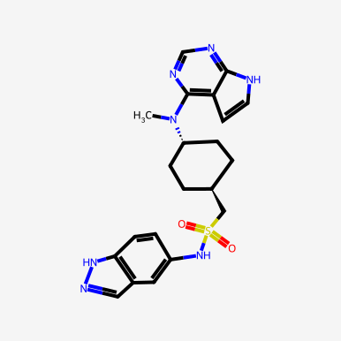 CN(c1ncnc2[nH]ccc12)[C@H]1CC[C@H](CS(=O)(=O)Nc2ccc3[nH]ncc3c2)CC1